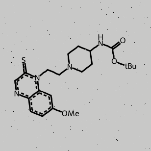 COc1ccc2ncc(=S)n(CCN3CCC(NC(=O)OC(C)(C)C)CC3)c2c1